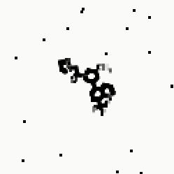 CC1CC(c2ccc(C(F)(F)F)c3ncccc23)CN(C(=O)Cn2cccn2)C1